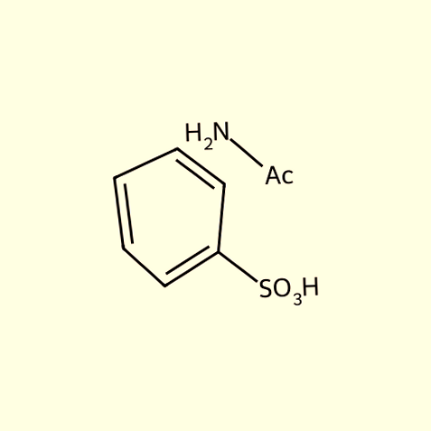 CC(N)=O.O=S(=O)(O)c1ccccc1